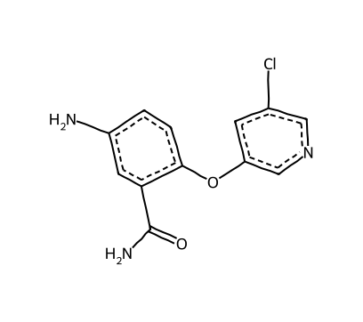 NC(=O)c1cc(N)ccc1Oc1cncc(Cl)c1